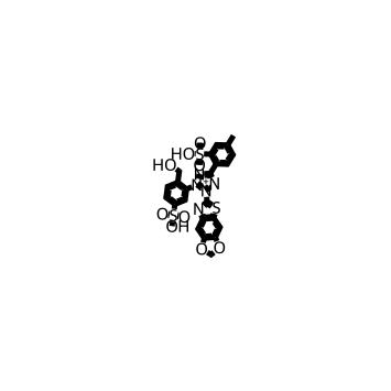 Cc1ccc(-c2nn(-c3nc4cc5c(cc4s3)OCO5)[n+](-c3cc(S(=O)(=O)O)ccc3CO)n2)c(S(=O)(=O)O)c1